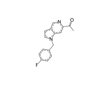 CC(=O)c1cc2c(ccn2Cc2ccc(F)cc2)cn1